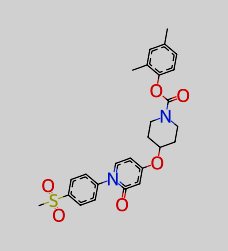 Cc1ccc(OC(=O)N2CCC(Oc3ccn(-c4ccc(S(C)(=O)=O)cc4)c(=O)c3)CC2)c(C)c1